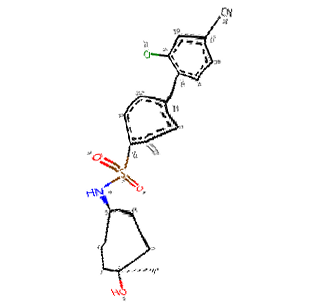 C[C@]1(O)CC[C@@H](NS(=O)(=O)c2ccc(-c3ccc(C#N)cc3Cl)cc2)CC1